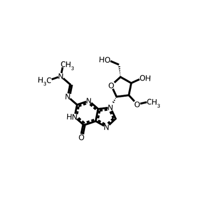 COC1C(O)[C@@H](CO)O[C@H]1n1cnc2c(=O)[nH]c(N=CN(C)C)nc21